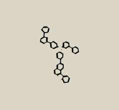 c1ccc(-c2cccc(N(c3ccc(-c4ccc5c(ccc6sc7ccccc7c65)c4)cc3)c3ccc(-c4cccc5c4sc4ccccc45)cc3)c2)cc1